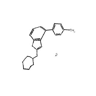 Cc1ccc(-c2cccc3c2C=C(CC2CCCCC2)[CH]3)cc1.[Zr]